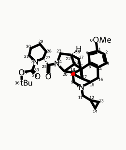 COc1ccc2c(c1)C13CCN(CC4CC4)C(C2)C12CCC1C3[C@@H](CN1C(=O)[C@H]1CCCCN1C(=O)OC(C)(C)C)C2